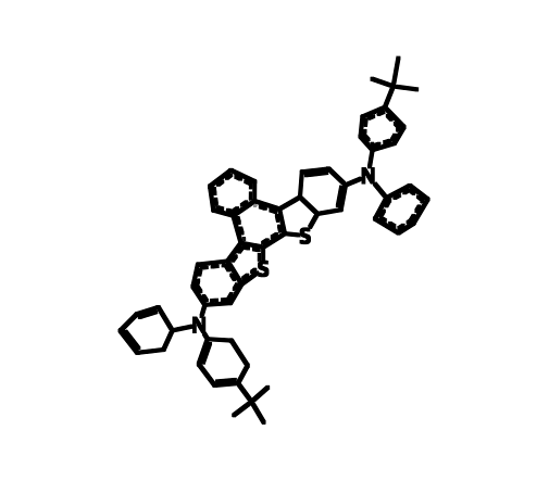 CC(C)(C)C1=CC=C(N(c2ccc3c(c2)sc2c4c(c5ccccc5c23)C2C=CC(N(c3ccccc3)c3ccc(C(C)(C)C)cc3)=CC2S4)C2C=CC=CC2)CC1